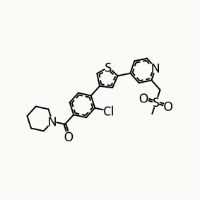 CS(=O)(=O)Cc1cc(-c2cc(-c3ccc(C(=O)N4CCCCC4)cc3Cl)cs2)ccn1